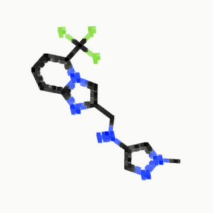 Cn1cc(NCc2cn3c(C(F)(F)F)cccc3n2)cn1